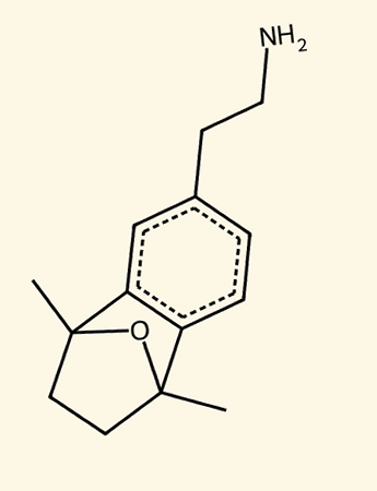 CC12CCC(C)(O1)c1cc(CCN)ccc12